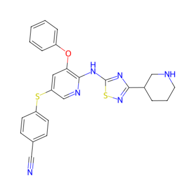 N#Cc1ccc(Sc2cnc(Nc3nc(C4CCCNC4)ns3)c(Oc3ccccc3)c2)cc1